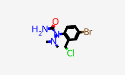 CN(C)N(C(N)=O)c1ccc(Br)cc1CCl